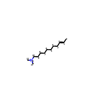 CC=CCCCCCCCCN(C)C